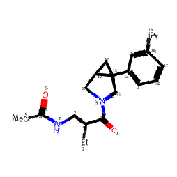 CCC(CNC(=O)OC)C(=O)N1CC2CC2(c2cccc(C(C)C)c2)C1